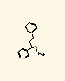 CC(C)NOC(CCc1ccccn1)c1ccccc1